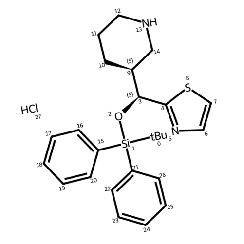 CC(C)(C)[Si](O[C@H](c1nccs1)[C@H]1CCCNC1)(c1ccccc1)c1ccccc1.Cl